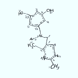 CC(=O)N(Cc1cnc(C)nc1C)c1cc(O)cc(O)c1